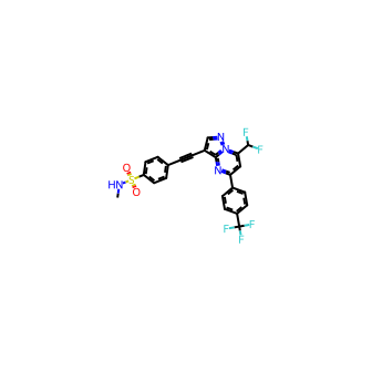 CNS(=O)(=O)c1ccc(C#Cc2cnn3c(C(F)F)cc(-c4ccc(C(F)(F)F)cc4)nc23)cc1